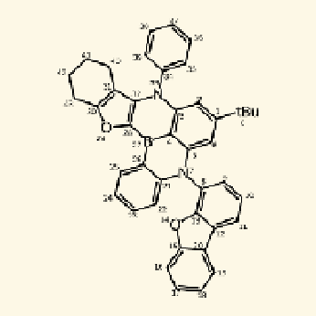 CC(C)(C)c1cc2c3c(c1)N(c1cccc4c1oc1ccccc14)c1ccccc1B3c1oc3c(c1N2c1ccccc1)CCCC3